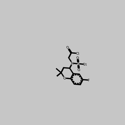 CCS(=O)(=O)N(CC(=O)Cl)C1CC(C)(C)Oc2ccc(F)cc21